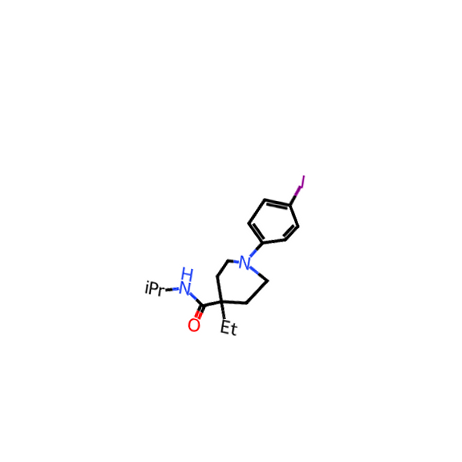 CCC1(C(=O)NC(C)C)CCN(c2ccc(I)cc2)CC1